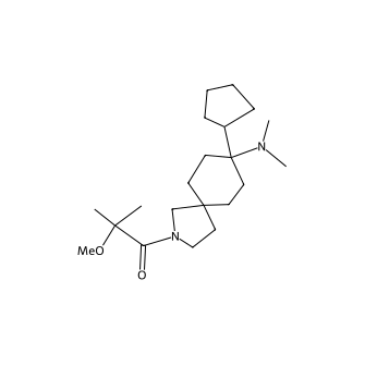 COC(C)(C)C(=O)N1CCC2(CCC(C3CCCC3)(N(C)C)CC2)C1